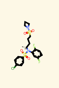 C[C@H](CCCS(=O)(=O)N1CCC1)N(c1cc(F)ccc1F)S(=O)(=O)c1ccc(Cl)cc1